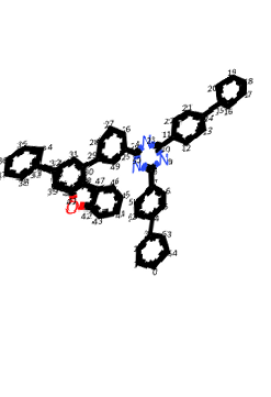 c1ccc(-c2ccc(-c3nc(-c4ccc(-c5ccccc5)cc4)nc(-c4cccc(-c5cc(-c6ccccc6)cc6oc7ccccc7c56)c4)n3)cc2)cc1